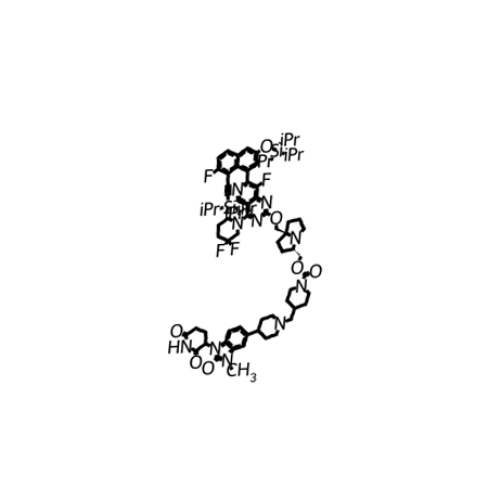 CC(C)[Si](C#Cc1c(F)ccc2cc(O[Si](C(C)C)(C(C)C)C(C)C)cc(-c3ncc4c(N5CCCC(F)(F)C5)nc(OC[C@@]56CCCN5[C@H](COC(=O)N5CCC(CN7CCC(c8ccc9c(c8)n(C)c(=O)n9C8CCC(=O)NC8=O)CC7)CC5)CC6)nc4c3F)c12)(C(C)C)C(C)C